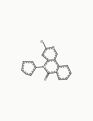 O=c1c2ccccc2c2cnc(Cl)cc2n1-c1ccccc1